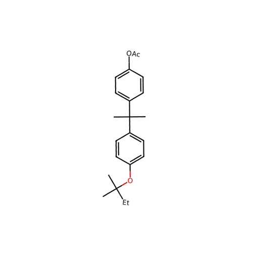 CCC(C)(C)Oc1ccc(C(C)(C)c2ccc(OC(C)=O)cc2)cc1